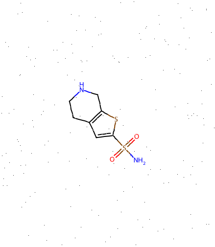 NS(=O)(=O)c1cc2c(s1)CNCC2